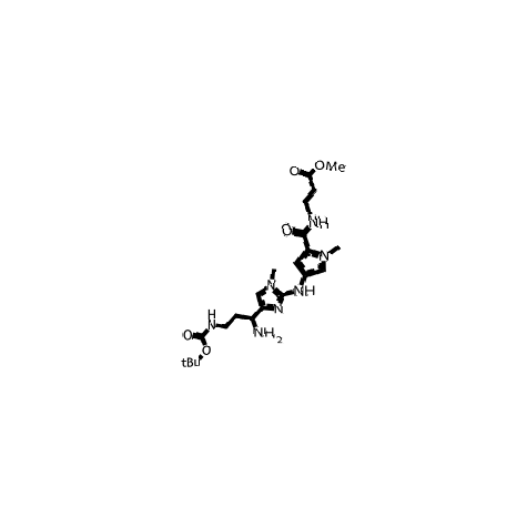 COC(=O)CCNC(=O)c1cc(Nc2nc(C(N)CCNC(=O)OC(C)(C)C)cn2C)cn1C